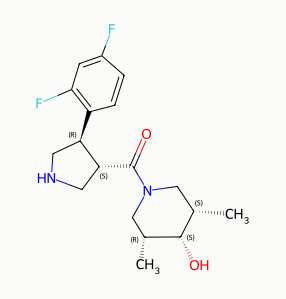 C[C@@H]1CN(C(=O)[C@@H]2CNC[C@H]2c2ccc(F)cc2F)C[C@H](C)[C@@H]1O